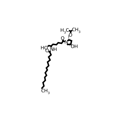 CCCCCCCCCCCCCCCC(=O)NC(CO)CCCCC(=O)N1C[C@H](O)C[C@H]1COC(C)C